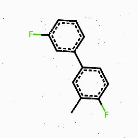 Cc1cc(-c2cccc(F)c2)ccc1F